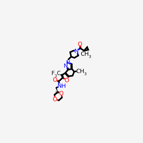 CC1Cc2oc(C(=O)NC[C@@H]3COCCO3)c(C(F)(F)F)c2-c2nn(CC3CCN(C(=O)C4(C)CC4)CC3)cc21